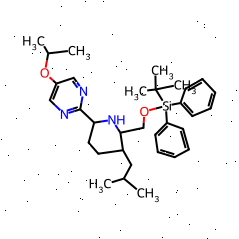 CC(C)CC1CCC(c2ncc(OC(C)C)cn2)NC1CO[Si](c1ccccc1)(c1ccccc1)C(C)(C)C